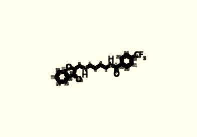 O=C(NCCCCNCC1Oc2ccccc2C1=O)c1ccc(C(F)(F)F)cc1